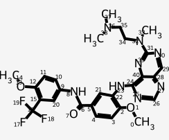 COc1ccc(C(=O)Nc2ccc(OC)c(C(F)(F)F)c2)cc1Nc1ncnc2cnc(N(C)CCN(C)C)nc12